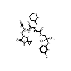 CC(C)(COC(=O)N[C@@H](CC1CCCCC1)C(=O)N[C@H](C#N)CC1CC2(CC2)NC1=O)Cc1cccc(Cl)c1